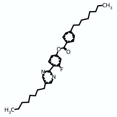 CCCCCCCCc1ccc(C(=O)Oc2ccc(-c3ncc(CCCCCCCC)cn3)c(F)c2)cc1